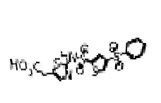 O=C(O)Cc1cnc(NS(=O)(=O)c2cc(S(=O)(=O)c3ccccc3)cs2)s1